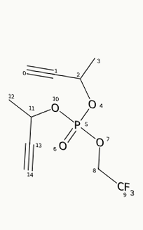 C#CC(C)OP(=O)(OCC(F)(F)F)OC(C)C#C